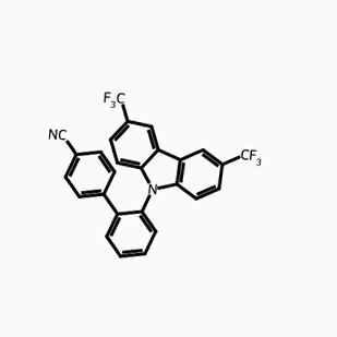 N#Cc1ccc(-c2ccccc2-n2c3ccc(C(F)(F)F)cc3c3cc(C(F)(F)F)ccc32)cc1